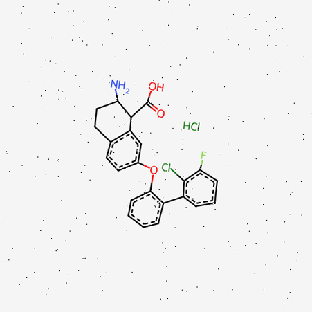 Cl.NC1CCc2ccc(Oc3ccccc3-c3cccc(F)c3Cl)cc2C1C(=O)O